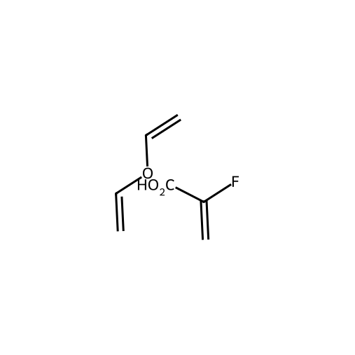 C=C(F)C(=O)O.C=COC=C